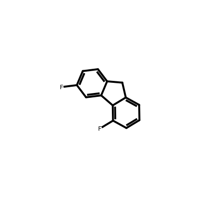 Fc1ccc2c(c1)-c1c(F)cccc1C2